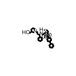 O=C(NC(CCN1CCCC(CO)C1)c1ccccc1)C1SCCN1S(=O)(=O)c1ccc(-c2ccccc2)cc1